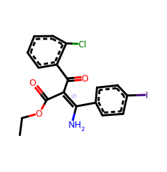 CCOC(=O)/C(C(=O)c1ccccc1Cl)=C(\N)c1ccc(I)cc1